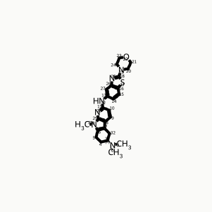 CN(C)[C@@H]1CCc2c(c3ccc(Nc4ccc5sc(N6CCOCC6)nc5c4)nc3n2C)C1